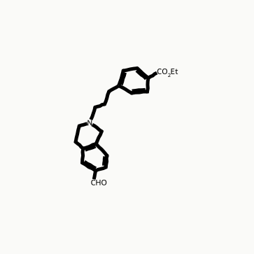 CCOC(=O)c1ccc(CCCN2CCc3cc(C=O)ccc3C2)cc1